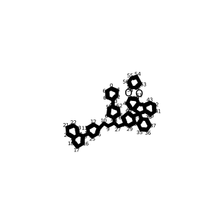 c1ccc(-c2ccc(C(CCc3ccc(-c4cccc5ccccc45)cc3)Cc3ccc(C4(c5ccccc5)c5ccccc5-c5c4ccc4c5Oc5ccccc5O4)cc3)cc2)cc1